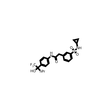 CCCC(O)(c1ccc(NC(=O)Cc2cccc(S(=O)(=O)NC3CC3)c2)cc1)C(F)(F)F